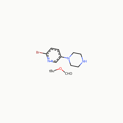 Brc1ccc(N2CCNCC2)cn1.CC(C)(C)OC=O